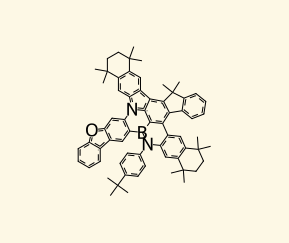 CC(C)(C)c1ccc(N2B3c4cc5c(cc4-n4c6cc7c(cc6c6c8c(c(c3c64)-c3cc4c(cc32)C(C)(C)CCC4(C)C)-c2ccccc2C8(C)C)C(C)(C)CCC7(C)C)oc2ccccc25)cc1